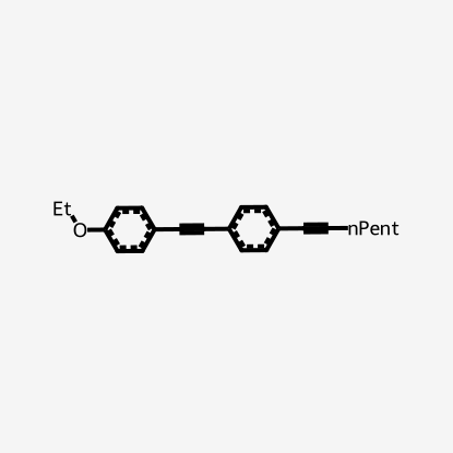 CCCCCC#Cc1ccc(C#Cc2ccc(OCC)cc2)cc1